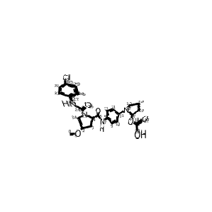 COC1CC(C(=O)Nc2ccc(N3CCCC3OC(=O)O)cc2)N(C(=O)Nc2ccc(Cl)cc2)C1